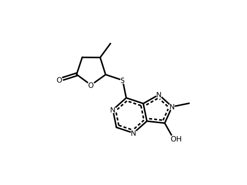 CC1CC(=O)OC1Sc1ncnc2c(O)n(C)nc12